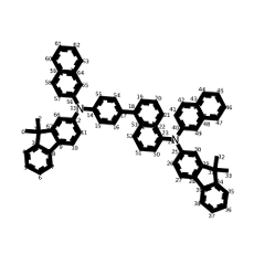 CC1(C)c2ccccc2-c2ccc(N(c3ccc(-c4cccc5c(N(c6ccc7c(c6)C(C)(C)c6ccccc6-7)c6ccc7ccccc7c6)cccc45)cc3)c3ccc4ccccc4c3)cc21